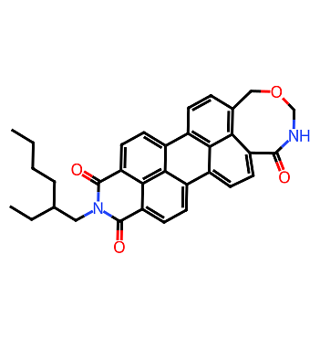 CCCCC(CC)CN1C(=O)c2ccc3c4ccc5c6c(ccc(c7ccc(c2c37)C1=O)c64)C(=O)NCOC5